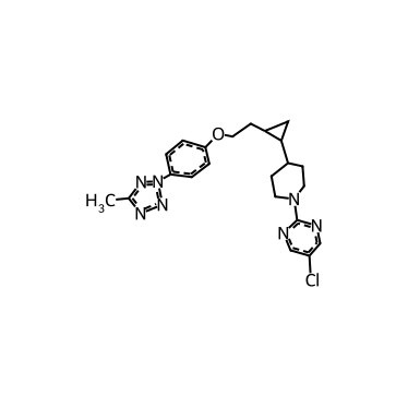 Cc1nnn(-c2ccc(OCCC3CC3C3CCN(c4ncc(Cl)cn4)CC3)cc2)n1